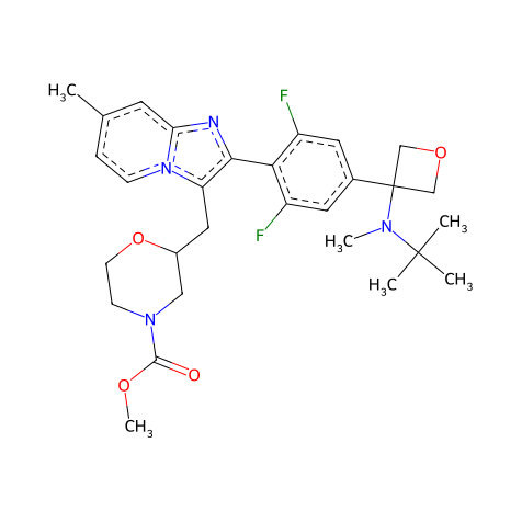 COC(=O)N1CCOC(Cc2c(-c3c(F)cc(C4(N(C)C(C)(C)C)COC4)cc3F)nc3cc(C)ccn23)C1